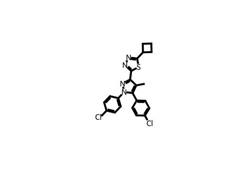 Cc1c(-c2nnc(C3CCC3)s2)nn(-c2ccc(Cl)cc2)c1-c1ccc(Cl)cc1